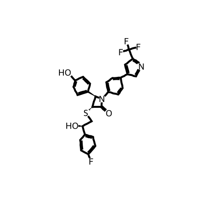 O=C1[C@H](SC[C@H](O)c2ccc(F)cc2)[C@@H](c2ccc(O)cc2)N1c1ccc(-c2cncc(C(F)(F)F)c2)cc1